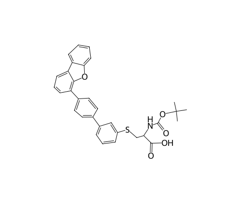 CC(C)(C)OC(=O)NC(CSc1cccc(-c2ccc(-c3cccc4c3oc3ccccc34)cc2)c1)C(=O)O